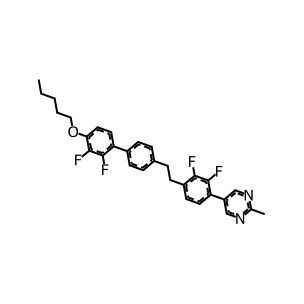 CCCCCOc1ccc(-c2ccc(CCc3ccc(-c4cnc(C)nc4)c(F)c3F)cc2)c(F)c1F